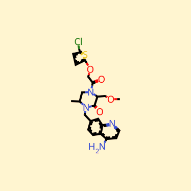 COCC1C(=O)N(Cc2ccc3c(N)ccnc3c2)C(C)CN1C(=O)COc1ccc(Cl)s1